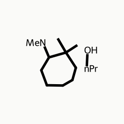 CCCO.CNC1CCCCCC1(C)C